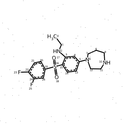 CCNc1cc(N2CCCNCC2)ccc1S(=O)(=O)c1ccc(F)c(F)c1